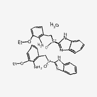 CCOc1cccc(C[S+]([O-])c2nc3ccccc3[nH]2)c1N.CCOc1cccc(C[S+]([O-])c2nc3ccccc3[nH]2)c1N.O